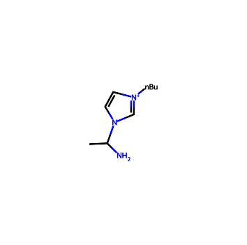 CCCC[n+]1ccn(C(C)N)c1